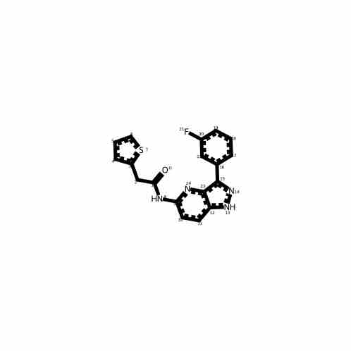 O=C(Cc1cccs1)Nc1ccc2[nH]nc(-c3cccc(F)c3)c2n1